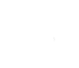 [CH2]c1cccc(C2CCCN2COCc2ccccc2)c1